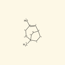 CC12CCC(C=C(O)CO1)CC2